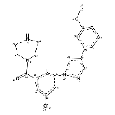 CCOc1cccc(-c2cnn(-c3cc(C(=O)N4CCNCC4)cc(C(F)(F)F)c3)c2)c1